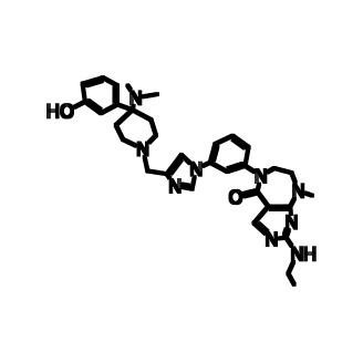 CCNc1ncc2c(n1)N(C)CCN(c1cccc(-n3cnc(CN4CCC(c5cccc(O)c5)(N(C)C)CC4)c3)c1)C2=O